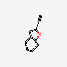 C#Cc1cc2ccccc2o1